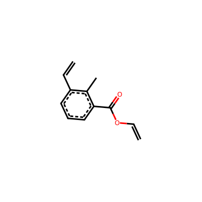 C=COC(=O)c1cccc(C=C)c1C